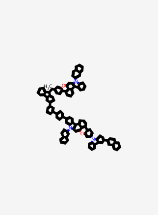 CC(c1ccc2c(c1)Oc1cc3c(c4cccc-2c14)c1ccccc1n3-c1ccc2ccccc2c1)C1c2ccccc2-c2cc(-c3cccc(-c4ccc(-c5ccc6c7c8cccc9c8c(cc7n(-c7ccc8ccccc8c7)c6c5)Oc5cc(-n6c7ccccc7c7cc(-c8ccc%10ccccc%10c8)ccc76)ccc5-9)cc4)c3)ccc21